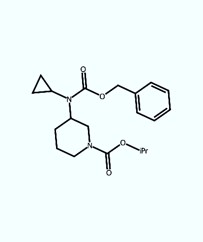 CC(C)OC(=O)N1CCCC(N(C(=O)OCc2ccccc2)C2CC2)C1